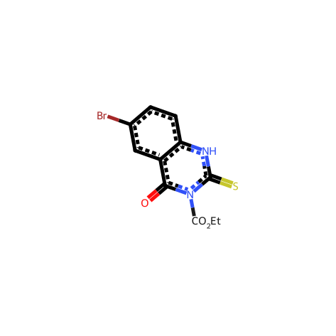 CCOC(=O)n1c(=S)[nH]c2ccc(Br)cc2c1=O